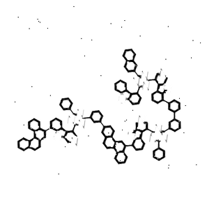 c1ccc(-c2nc(-c3cccc(-c4cccc(-c5cccc6c5oc5cncc(-c7nc(-c8ccc9ccccc9c8)nc(-c8cccc9oc%10ccccc%10c89)n7)c56)c4)c3)nc(-c3cncc4oc5c(-c6cc7c8ccc(-c9cccc(-c%10nc(-c%11ccccc%11)nc(-c%11cncc%12oc%13c(-c%14cc%15ccc%16ccccc%16c%15c%15ccccc%14%15)cccc%13c%11%12)n%10)c9)cc8ccc7c7ccccc67)cccc5c34)n2)cc1